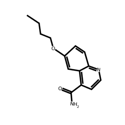 CCCCOc1ccc2nccc(C(N)=O)c2c1